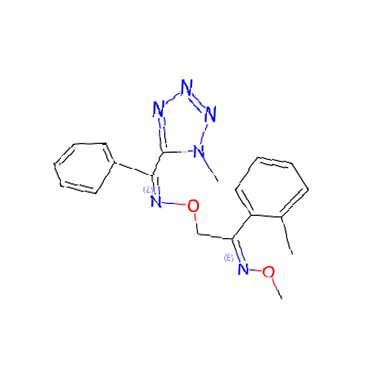 CO/N=C(/CO/N=C(/c1ccccc1)c1nnnn1C)c1ccccc1C